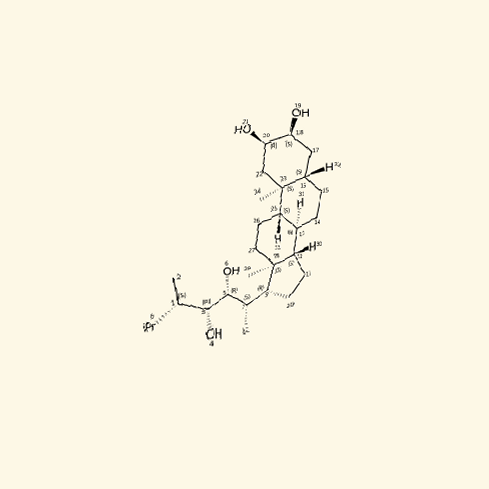 CC(C)[C@H](C)[C@@H](O)[C@H](O)[C@@H](C)[C@H]1CC[C@H]2[C@@H]3CC[C@H]4C[C@H](O)[C@H](O)C[C@]4(C)[C@H]3CC[C@]12C